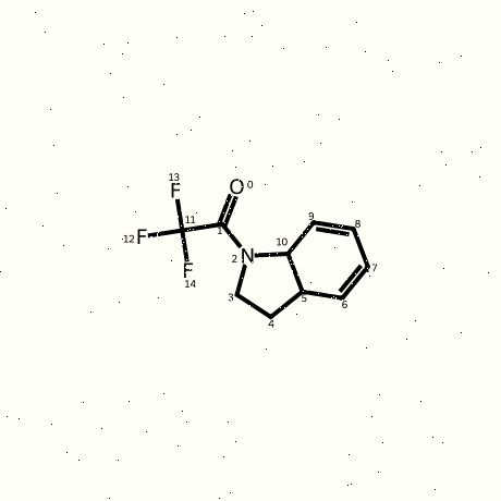 O=C(N1CCC2C=[C]C=CC21)C(F)(F)F